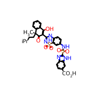 CC(C)CC[C@@]1(C)C(=O)C(C2=NS(=O)(=O)c3cc(NS(=O)(=O)c4nc5ccc(C(=O)O)cc5[nH]4)ccc3N2)=C(O)c2ccccc21